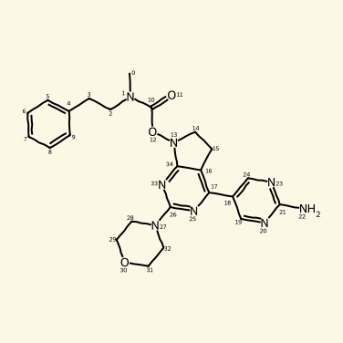 CN(CCc1ccccc1)C(=O)ON1CCc2c(-c3cnc(N)nc3)nc(N3CCOCC3)nc21